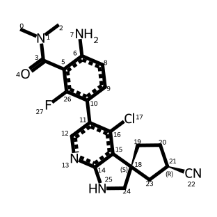 CN(C)C(=O)c1c(N)ccc(-c2cnc3c(c2Cl)[C@@]2(CC[C@@H](C#N)C2)CN3)c1F